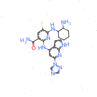 NC(=O)c1cc(F)c(NC2CCCCC2N)nc1Nc1cc(-n2cncn2)nc2[nH]ccc12